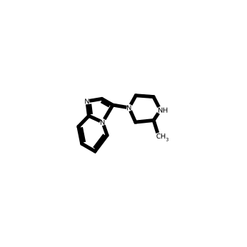 CC1CN(c2cnc3ccccn23)CCN1